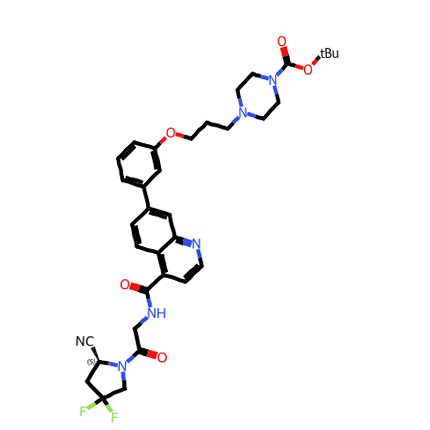 CC(C)(C)OC(=O)N1CCN(CCCOc2cccc(-c3ccc4c(C(=O)NCC(=O)N5CC(F)(F)C[C@H]5C#N)ccnc4c3)c2)CC1